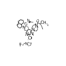 C=C(I)C(=O)N1CCN(c2nc(OC[C@@H]3CCCN3CCF)nc3c2CCN(c2cccc4cccc(Cl)c24)C3)C[C@@H]1CC#N